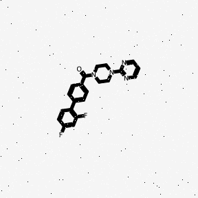 O=C(c1ccc(-c2ccc(F)cc2F)cc1)N1CCN(c2ncccn2)CC1